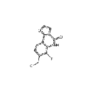 O=c1[nH]c2c(F)c(CCl)ccc2c2occc12